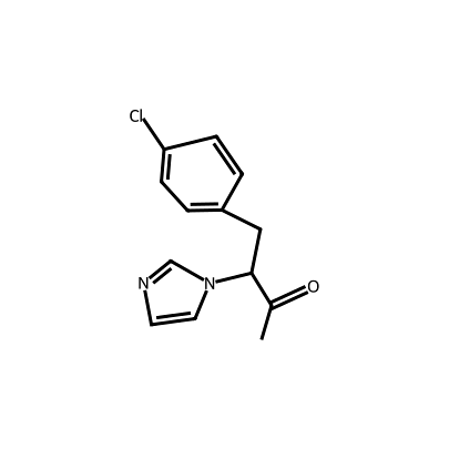 CC(=O)C(Cc1ccc(Cl)cc1)n1ccnc1